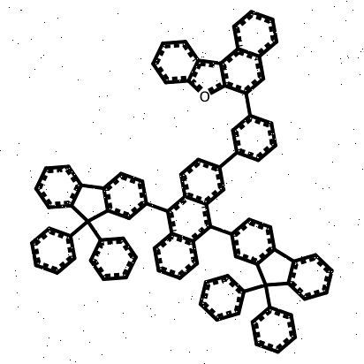 c1ccc(C2(c3ccccc3)c3ccccc3-c3ccc(-c4c5ccccc5c(-c5ccc6c(c5)C(c5ccccc5)(c5ccccc5)c5ccccc5-6)c5cc(-c6cccc(-c7cc8ccccc8c8c7oc7ccccc78)c6)ccc45)cc32)cc1